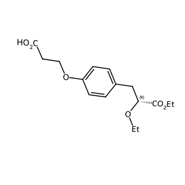 CCOC(=O)[C@@H](Cc1ccc(OCCC(=O)O)cc1)OCC